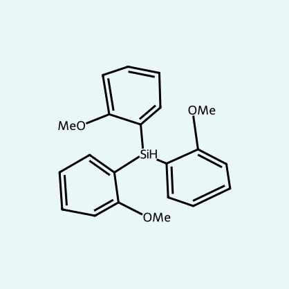 COc1ccccc1[SiH](c1ccccc1OC)c1ccccc1OC